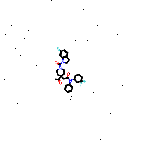 CC(=O)C1(CC(=O)N(c2ccccc2)[C@H]2CCCC(F)(F)C2)CCN(C(=O)N2CCc3ccc(F)cc32)CC1